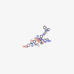 CC(C)c1ccccc1[C@@H]1CCCN1C1CC2(C1)CN(c1ccc(C(=O)NS(=O)(=O)c3cc4c(c([N+](=O)[O-])c3)N[C@H](C3CCC(C)(O)CC3)CO4)c(N3c4cc5cc[nH]c5nc4O[C@H]4COC[C@@H]43)c1)C2